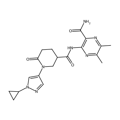 Cc1nc(NC(=O)C2CCC(=O)N(c3cnn(C4CC4)c3)C2)c(C(N)=O)nc1C